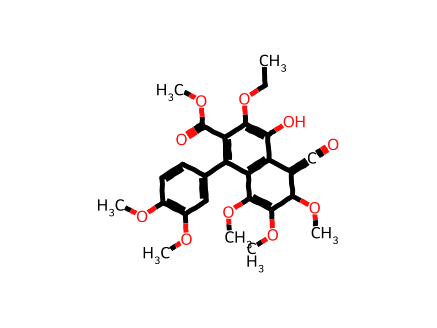 CCOc1c(O)c2c(c(-c3ccc(OC)c(OC)c3)c1C(=O)OC)C(OC)=C(OC)C(OC)C2=C=O